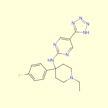 CCN1CCC(Nc2ncc(-c3nnn[nH]3)cn2)(c2ccc(F)cc2)CC1